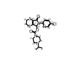 CC(C)N1CCN(C(=O)OC2C3=C(SCCS3)C(=O)N2c2ccc(Cl)cn2)CC1